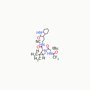 CC(C)(C)[C@H](NC(=O)C(F)(F)F)C(=O)N1C[C@H]2[C@H]([C@H]1C(=O)N[C@H](C#N)CC1C(=O)NC3CCCCC31)C2(C)C